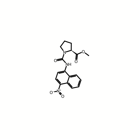 COC(=O)[C@@H]1CCCN1C(=O)Nc1ccc([N+](=O)[O-])c2ccccc12